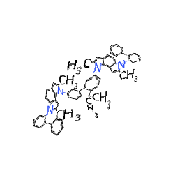 Cc1cc2c(ccc3cc(C)n(-c4ccc5c(c4)-c4cc(-n6c(C)cc7ccc8c(cc(C)n8-c8ccccc8-c8ccccc8)c76)ccc4C5(C)C)c32)n1-c1ccccc1-c1ccccc1